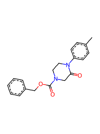 Cc1ccc(N2CCN(C(=O)OCc3ccccc3)CC2=O)cc1